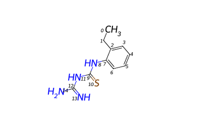 CCc1ccccc1NC(=S)NC(=N)N